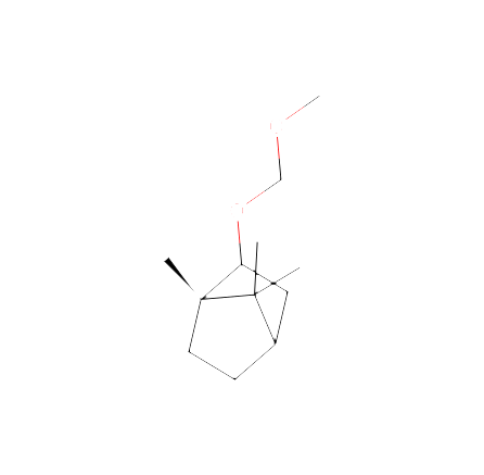 COCOC1CC2CC[C@@]1(C)C2(C)C